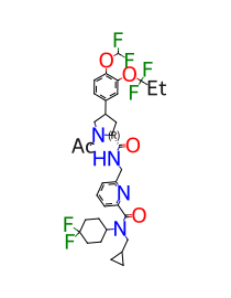 CCC(F)(F)Oc1cc(C2C[C@H](C(=O)NCc3cccc(C(=O)N(CC4CC4)C4CCC(F)(F)CC4)n3)N(C(C)=O)C2)ccc1OC(F)F